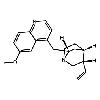 C=C[C@@H]1CN2CC[C@H]1C[C@H]2Cc1ccnc2ccc(OC)cc12